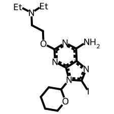 CCN(CC)CCOc1nc(N)c2nc(I)n(C3CCCCO3)c2n1